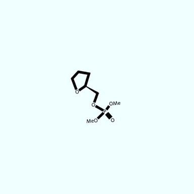 COP(=O)(OC)OC[C@@H]1CCCO1